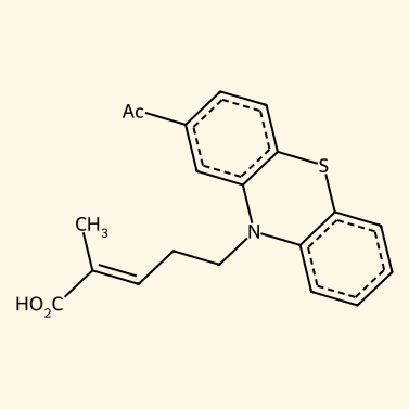 CC(=O)c1ccc2c(c1)N(CCC=C(C)C(=O)O)c1ccccc1S2